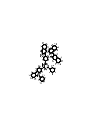 c1ccc(-c2nc(-c3cc(-n4c5cc6ccccc6cc5c5c6ccccc6ccc54)c4c(c3)oc3cc5ccccc5cc34)nc(-c3ccc4c5ccccc5n(-c5ccccc5)c4c3)n2)cc1